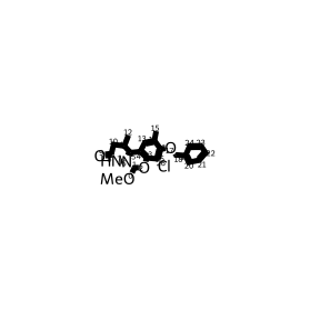 COCOc1c(C2=NNC(=O)CC2C)cc(C)c(OCc2ccccc2)c1Cl